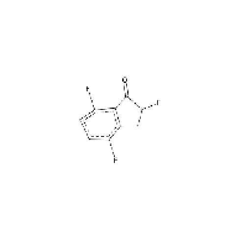 O=C1c2c(F)ccc(F)c2CC1F